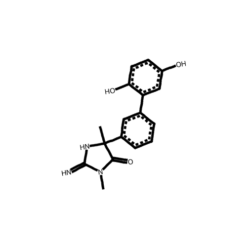 CN1C(=N)NC(C)(c2cccc(-c3cc(O)ccc3O)c2)C1=O